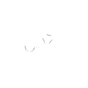 COc1ccc(C/C=C(\C)C=O)cc1